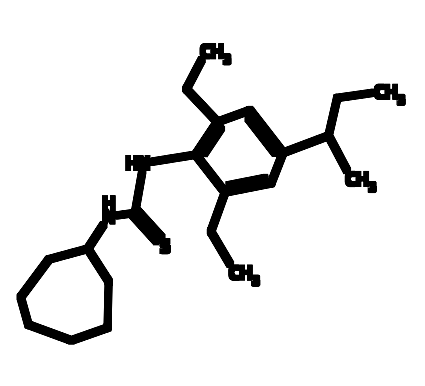 CCc1cc(C(C)CC)cc(CC)c1NC(=S)NC1CCCCCC1